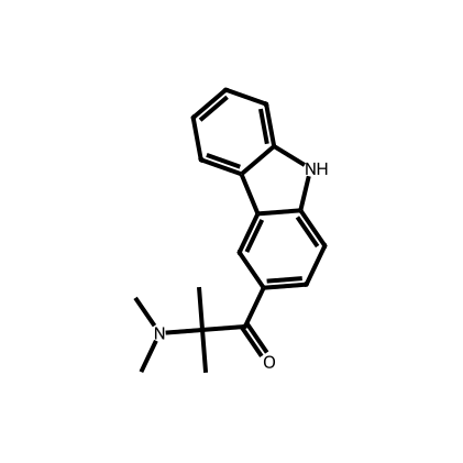 CN(C)C(C)(C)C(=O)c1ccc2[nH]c3ccccc3c2c1